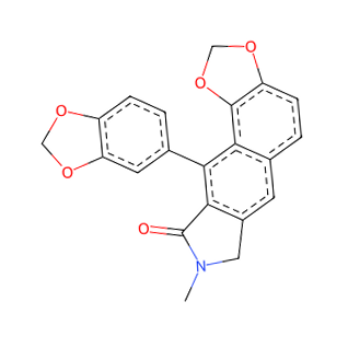 CN1Cc2cc3ccc4c(c3c(-c3ccc5c(c3)OCO5)c2C1=O)OCO4